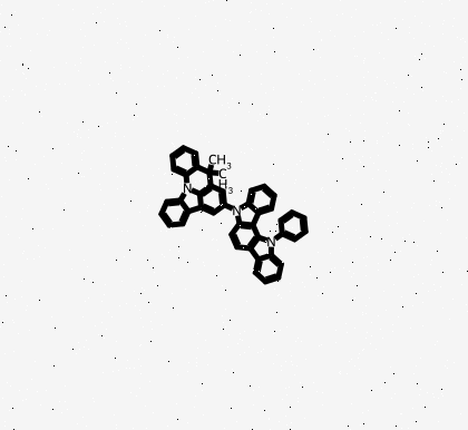 CC1(C)c2ccccc2-n2c3ccccc3c3cc(-n4c5ccccc5c5c4ccc4c6ccccc6n(-c6ccccc6)c45)cc1c32